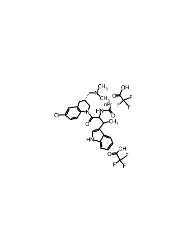 CCCC(=O)NC(C(=O)N1C[C@@H](CN(C)C)Cc2cc(Cl)ccc21)C(C)c1c[nH]c2ccccc12.O=C(O)C(F)(F)F.O=C(O)C(F)(F)F